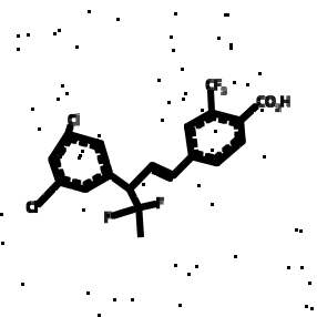 CC(F)(F)C(C=Cc1ccc(C(=O)O)c(C(F)(F)F)c1)c1cc(Cl)cc(Cl)c1